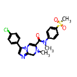 CN1Cc2ncc(-c3ccc(Cl)cc3)n2C=C1C(=O)N(C)c1ccc(S(C)(=O)=O)cc1